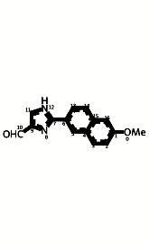 COc1ccc2cc(-c3nc(C=O)c[nH]3)ccc2c1